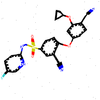 N#Cc1cc(S(=O)(=O)Nc2ccc(F)cn2)ccc1Oc1ccc(C#N)c(OC2CC2)c1